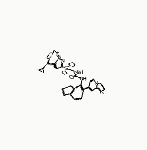 O=C(Nc1c(-c2ccn3ccnc3c2)ccc2c1CCC2)NS(=O)(=O)c1cc2n(n1)CCO[C@@H]2C1CC1